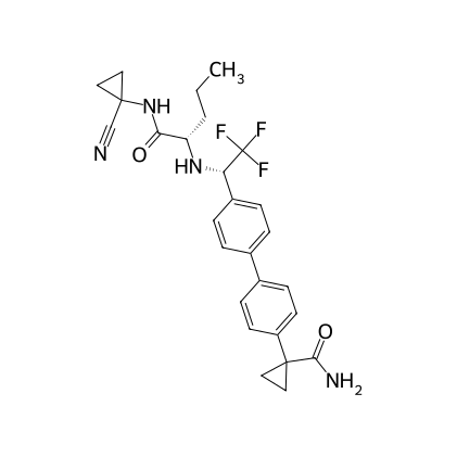 CCC[C@H](N[C@@H](c1ccc(-c2ccc(C3(C(N)=O)CC3)cc2)cc1)C(F)(F)F)C(=O)NC1(C#N)CC1